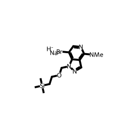 CNc1ncc(Br)c2c1cnn2COCC[Si](C)(C)C.[H-].[Na+]